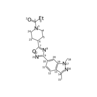 CCC(=O)N1CCC(c2nc(-c3ccc4c(C)nn(C)c4c3)no2)CC1